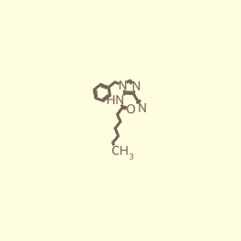 CCCCCCC(=O)Nc1c(C#N)ncn1Cc1ccccc1